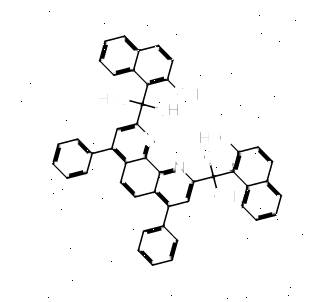 Cc1ccc2ccccc2c1C(C)(C)c1cc(-c2ccccc2)c2ccc3c(-c4ccccc4)cc(C(C)(C)c4c(C)ccc5ccccc45)nc3c2n1